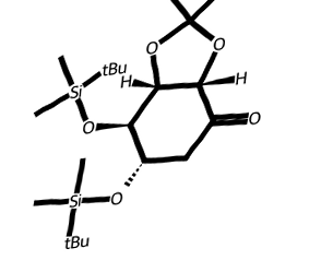 CC1(C)O[C@H]2[C@H](O[Si](C)(C)C(C)(C)C)[C@@H](O[Si](C)(C)C(C)(C)C)CC(=O)[C@H]2O1